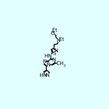 CCOCCN(CC)CCc1cc(Nc2nc(C)cn3c(-c4cn[nH]c4)cnc23)sn1